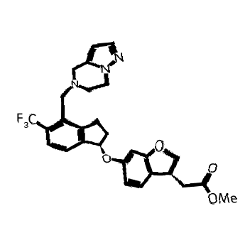 COC(=O)C[C@@H]1COc2cc(O[C@@H]3CCc4c3ccc(C(F)(F)F)c4CN3CCn4nccc4C3)ccc21